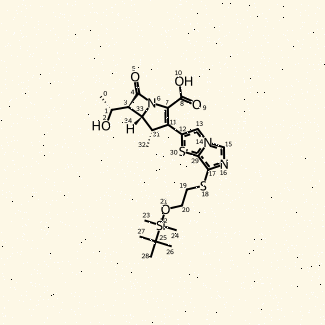 C[C@@H](O)[C@H]1C(=O)N2C(C(=O)O)=C(c3cn4cnc(SCCO[Si](C)(C)C(C)(C)C)c4s3)[C@H](C)[C@H]12